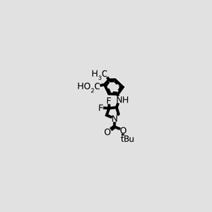 Cc1ccc(NC2CN(C(=O)OC(C)(C)C)CC2(F)F)cc1C(=O)O